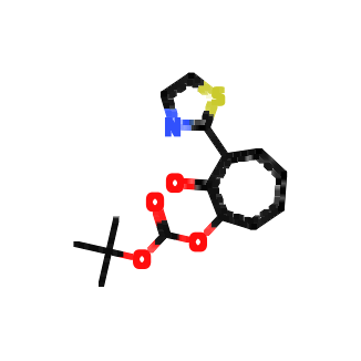 CC(C)(C)OC(=O)Oc1ccccc(-c2nccs2)c1=O